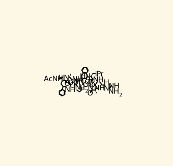 CC(=O)N[C@@H](Cc1c[nH]c2ccccc12)C(=O)N[C@@H](C)C(=O)N[C@@H](C)C(=O)N1CCC[C@H]1C(=O)N[C@@H](Cc1ccccc1)C(=O)N[C@@H](CC(C)C)C(=O)N[C@@H](CCCNC(=N)N)C(=O)N[C@@H](C)C(N)=O